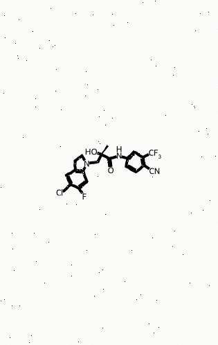 C[C@](O)(CN1CCc2cc(Cl)c(F)cc21)C(=O)Nc1ccc(C#N)c(C(F)(F)F)c1